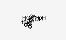 C[C@H](CCC(O)CO)O[C@@H]1O[C@@H](C)[C@H](O[Si](c2ccccc2)(c2ccccc2)C(C)(C)C)C[C@H]1O